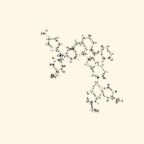 CC(C)(C)c1ccc(CC(C2=CC3=CC4=C(C3CC=C2)N(c2ccccc2)c2cccc3c2B4c2ccc(N(c4ccc(C(C)(C)C)cc4)c4ccc(C(C)(C)C)cc4)cc2O3)c2ccc(C(C)(C)C)cc2)cc1